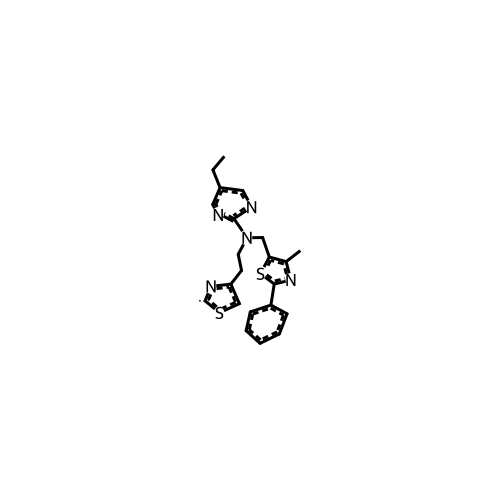 CCc1cnc(N(CCc2cs[c]n2)Cc2sc(-c3ccccc3)nc2C)nc1